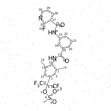 Cc1cc(C(OS(C)(=O)=O)(C(F)(F)F)C(F)(F)F)cc(C)c1NC(=O)c1cccc(NC(=O)c2cccnc2F)c1